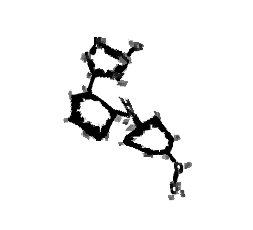 CCn1nnc(-c2ccccc2Nc2ccc(OC(F)(F)F)cc2)n1